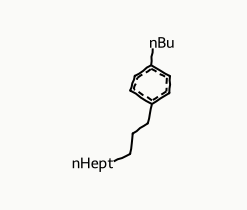 [CH2]CCCc1ccc(CCCCCCCCCC)cc1